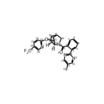 O=C(c1ccccc1-c1ncc(F)cn1)N1CC2CC[C@H]1[C@H](Oc1ccc(C(F)(F)F)cn1)C2